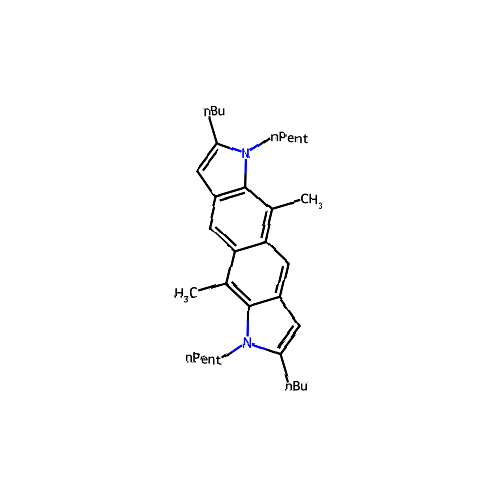 CCCCCn1c(CCCC)cc2cc3c(C)c4c(cc(CCCC)n4CCCCC)cc3c(C)c21